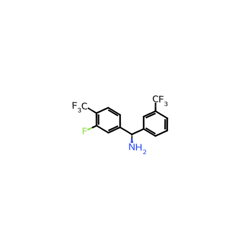 N[C@H](c1cccc(C(F)(F)F)c1)c1ccc(C(F)(F)F)c(F)c1